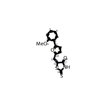 COc1ccccc1-c1ccc(/C=C2/SC(=S)NC2=O)o1